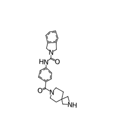 O=C(Nc1ccc(C(=O)N2CCC3(CC2)CNC3)cc1)N1Cc2ccccc2C1